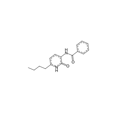 CCCCc1ccc(NC(=O)c2ccccc2)c(=O)[nH]1